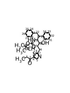 CCC(=O)c1cnc(CC[C@H](O)[C@@H](NC(=O)OC(C)(C)C)C(Cc2ccccc2)c2ccccc2)s1